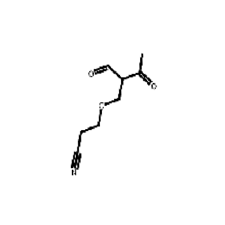 CC(=O)C(C=O)COCCC#N